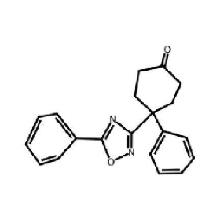 O=C1CCC(c2ccccc2)(c2noc(-c3ccccc3)n2)CC1